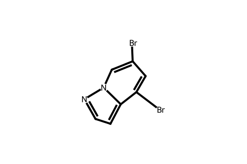 Brc1cc(Br)c2ccnn2c1